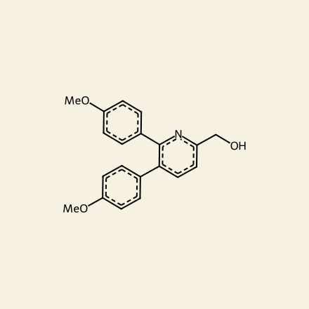 COc1ccc(-c2ccc(CO)nc2-c2ccc(OC)cc2)cc1